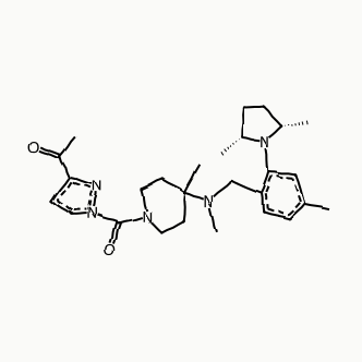 CC(=O)c1ccn(C(=O)N2CCC(C)(N(C)Cc3ccc(C)cc3N3[C@H](C)CC[C@@H]3C)CC2)n1